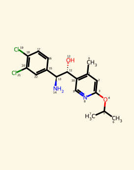 Cc1cc(OC(C)C)ncc1[C@@H](O)[C@@H](N)c1ccc(Cl)c(Cl)c1